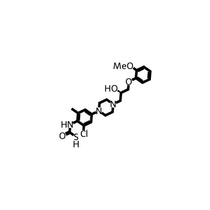 COc1ccccc1OC[C@H](O)CN1CCN(c2cc(C)c(NC(=O)S)c(Cl)c2)CC1